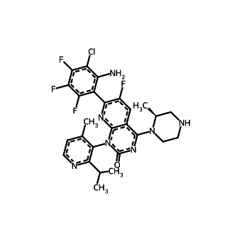 Cc1ccnc(C(C)C)c1-n1c(=O)nc(N2CCNC[C@@H]2C)c2cc(F)c(-c3c(N)c(Cl)c(F)c(F)c3F)nc21